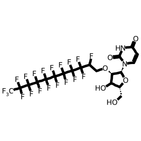 O=c1ccn([C@@H]2O[C@H](CO)C(O)[C@@H]2OCC(F)C(F)(F)C(F)(F)C(F)(F)C(F)(F)C(F)(F)C(F)(F)C(F)(F)C(F)(F)C(F)(F)F)c(=O)[nH]1